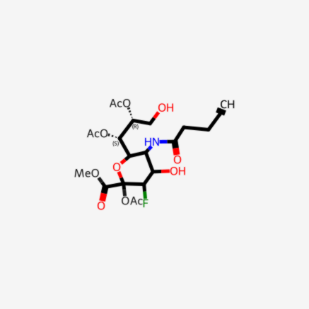 C#CCCC(=O)NC1C(O)C(F)C(OC(C)=O)(C(=O)OC)OC1[C@H](OC(C)=O)[C@@H](CO)OC(C)=O